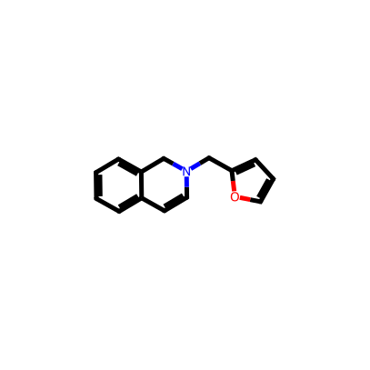 C1=CN(Cc2ccco2)Cc2ccccc21